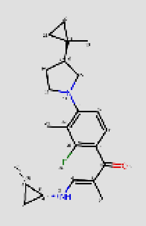 CC(=CN[C@@H]1C[C@@H]1C)C(=O)c1ccc(N2CC[C@@H](C3(C)CC3)C2)c(C)c1F